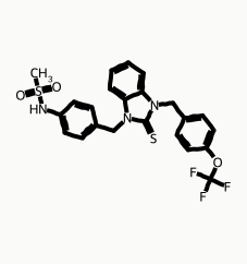 CS(=O)(=O)Nc1ccc(Cn2c(=S)n(Cc3ccc(OC(F)(F)F)cc3)c3ccccc32)cc1